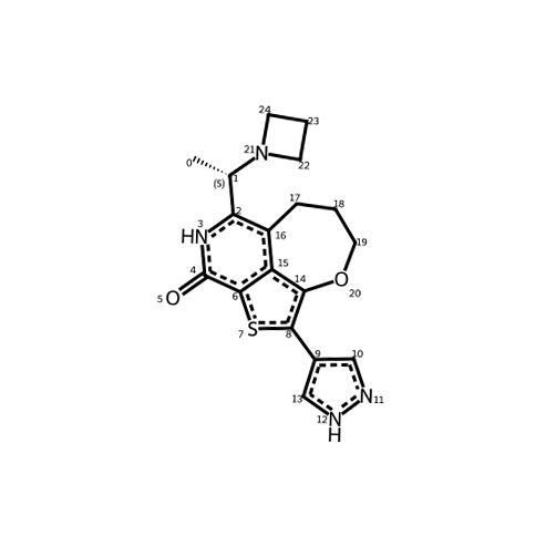 C[C@@H](c1[nH]c(=O)c2sc(-c3cn[nH]c3)c3c2c1CCCO3)N1CCC1